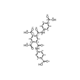 O=C(O)c1ccc(NC(=O)c2cc(C(=O)Nc3ccc(C(=O)O)cc3)c(C(=O)O)cc2C(=O)O)cc1